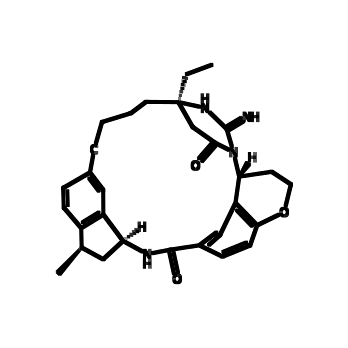 CC[C@]12CCCCc3ccc4c(c3)[C@H](C[C@H]4C)NC(=O)c3ccc4c(c3)[C@@H](CCO4)N(C(=N)N1)C(=O)C2